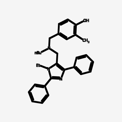 CCCCN(Cc1ccc(O)c(C)c1)Cc1c(-c2ccccc2)nc(-c2ccccc2)n1CC